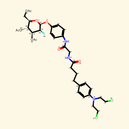 CC(=O)OC[C@H]1O[C@@H](Oc2ccc(NC(=O)CNC(=O)CCCc3ccc(N(CCCl)CCCl)cc3)cc2)[C@@H](F)[C@@H](OC(C)=O)[C@@H]1OC(C)=O